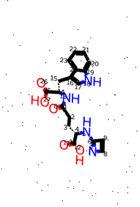 O=C(CC[C@H](NC1=NC=C1)C(=O)O)N[C@@H](Cc1c[nH]c2ccccc12)C(=O)O